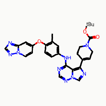 Cc1cc(Nc2ncnn3cnc(C4=CCN(C(=O)OC(C)(C)C)CC4)c23)ccc1Oc1ccn2ncnc2c1